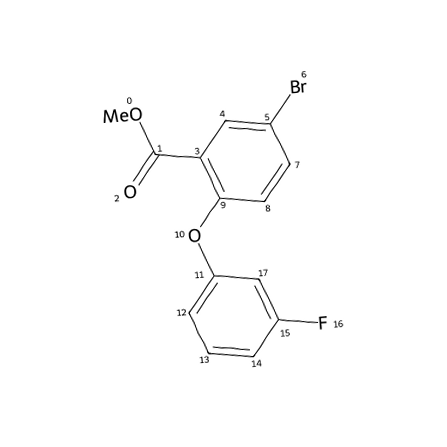 COC(=O)c1cc(Br)ccc1Oc1cccc(F)c1